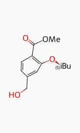 CC[C@H](C)Oc1cc(CO)ccc1C(=O)OC